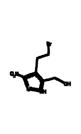 O=[N+]([O-])c1n[nH]c(CO)c1CCBr